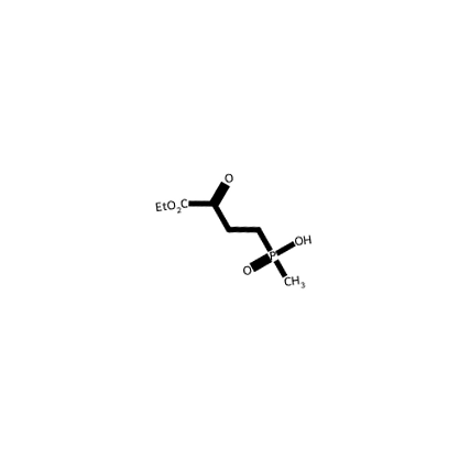 CCOC(=O)C(=O)CCP(C)(=O)O